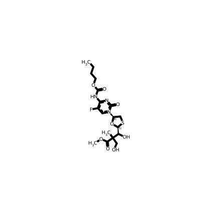 CCCCOC(=O)Nc1nc(=O)n([C@H]2CS[C@@H](C(O)C(C)(CO)C(=O)OC)O2)cc1F